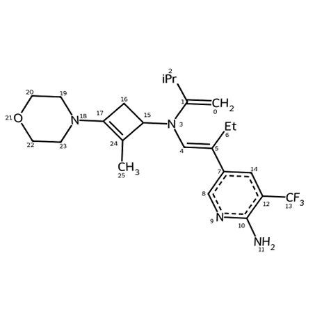 C=C(C(C)C)N(/C=C(\CC)c1cnc(N)c(C(F)(F)F)c1)C1CC(N2CCOCC2)=C1C